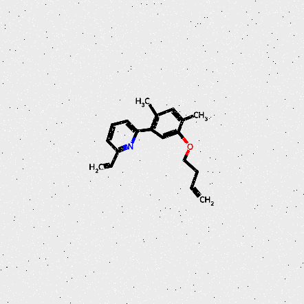 C=CCCOc1cc(-c2cccc(C=C)n2)c(C)cc1C